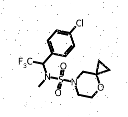 CN(C(c1ccc(Cl)cc1)C(F)(F)F)S(=O)(=O)N1CCOC2(CC2)C1